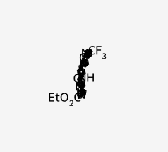 CCOC(=O)Cn1ccc(-c2ccc(C(=O)NC3CCC(=Cc4cccc(Oc5ccc(C(F)(F)F)cn5)c4)CC3)cn2)n1